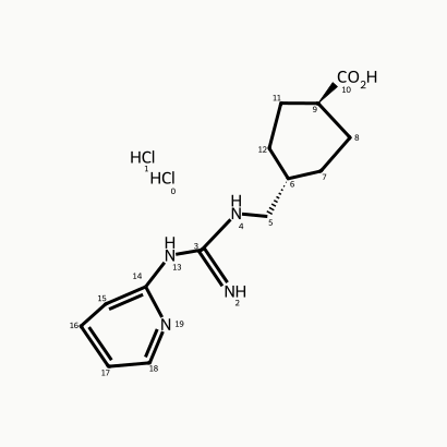 Cl.Cl.N=C(NC[C@H]1CC[C@H](C(=O)O)CC1)Nc1ccccn1